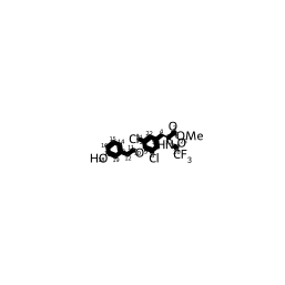 COC(=O)[C@H](Cc1cc(Cl)c(OCCc2cccc(O)c2)c(Cl)c1)NC(=O)C(F)(F)F